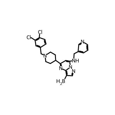 Bc1cnn2c(NCc3cccnc3)cc(C3CCN(Cc4ccc(Cl)c(Cl)c4)CC3)nc12